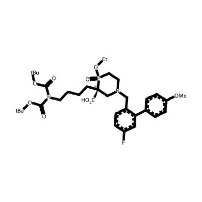 CCOP1(=O)CCN(Cc2ccc(F)cc2-c2ccc(OC)cc2)C[C@@]1(CCCCN(C(=O)OC(C)(C)C)C(=O)OC(C)(C)C)C(=O)O